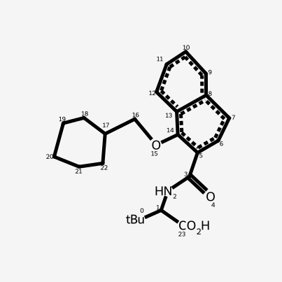 CC(C)(C)C(NC(=O)c1ccc2ccccc2c1OCC1CCCCC1)C(=O)O